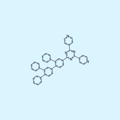 c1ccc(-c2ccc(-c3ccc(-c4nc(-c5ccncc5)nc(-c5ccncc5)n4)cc3-c3ccccc3)cc2-c2ccccc2)cc1